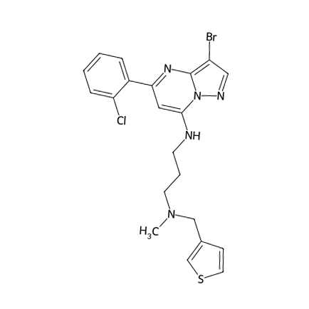 CN(CCCNc1cc(-c2ccccc2Cl)nc2c(Br)cnn12)Cc1ccsc1